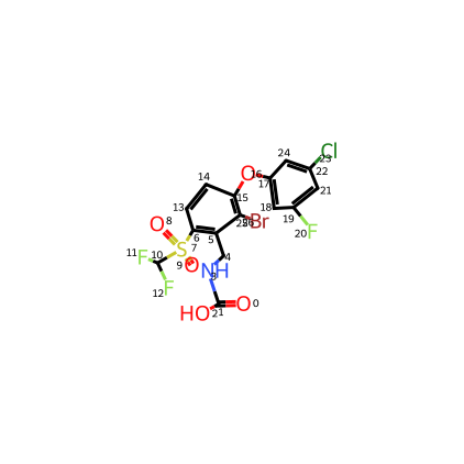 O=C(O)NCc1c(S(=O)(=O)C(F)F)ccc(Oc2cc(F)cc(Cl)c2)c1Br